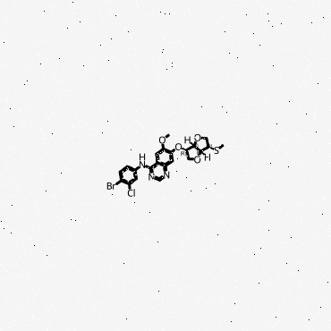 COc1cc2c(Nc3ccc(Br)c(Cl)c3)ncnc2cc1O[C@@H]1CO[C@@H]2[C@H]1OC[C@H]2SC